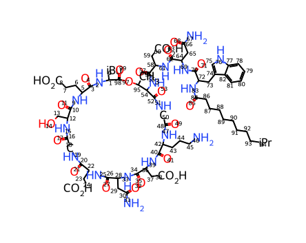 CCC(C)C1NC(=O)C(CCC(=O)O)NC(=O)C(CO)NC(=O)CNC(=O)C(CC(=O)O)NC(=O)C(CC(N)=O)NC(=O)C(CC(=O)O)NC(=O)C(CCCN)NC(=O)CNC(=O)C(NC(=O)C(CC(=O)O)NC(=O)C(CC(N)=O)NC(=O)C(Cc2c[nH]c3ccccc23)NC(=O)CCCCCCCCC(C)C)C(C)OC1=O